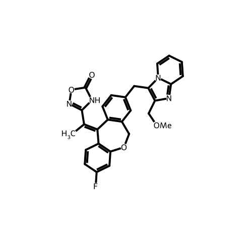 COCc1nc2ccccn2c1Cc1ccc2c(c1)COc1cc(F)ccc1/C2=C(\C)c1noc(=O)[nH]1